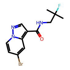 CC(C)(F)CNC(=O)c1cnn2ccc(Br)cc12